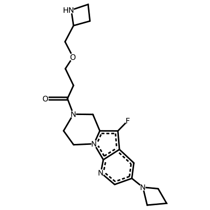 O=C(CCOCC1CCN1)N1CCn2c(c(F)c3cc(N4CCC4)cnc32)C1